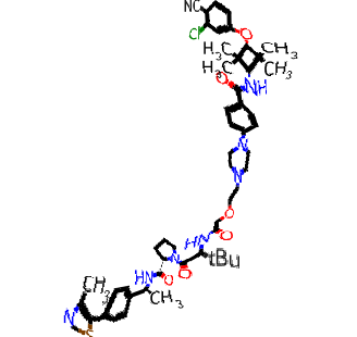 Cc1ncsc1-c1ccc([C@H](C)NC(=O)[C@@H]2CCCN2C(=O)C(NC(=O)COCCN2CCN(c3ccc(C(=O)N[C@H]4C(C)(C)[C@H](Oc5ccc(C#N)c(Cl)c5)C4(C)C)cc3)CC2)C(C)(C)C)cc1